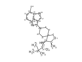 C[C@@H]1OCC2(CCN(c3nc4ccc(I)c5ncc3n45)CC2)[C@@H]1N[S@+]([O-])C(C)(C)C